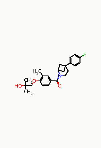 Cc1cc(C(=O)N2CCC3(c4ccc(F)cc4)CC2C3)ccc1OCC(C)(C)O